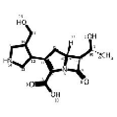 C[C@@H](O)[C@H]1C(=O)N2C(C(=O)O)=C(C3CNCC3CO)C[C@H]12